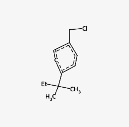 CCC(C)(C)c1ccc(CCl)cc1